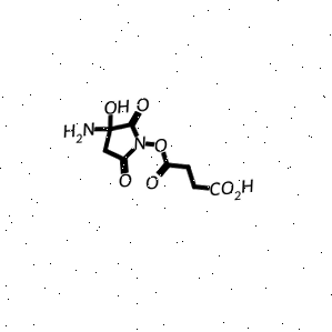 NC1(O)CC(=O)N(OC(=O)CCC(=O)O)C1=O